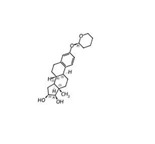 C[C@]12CC[C@@H]3c4ccc(O[C@@H]5CCCCO5)cc4CC[C@H]3[C@@H]1C[C@H](O)[C@@H]2O